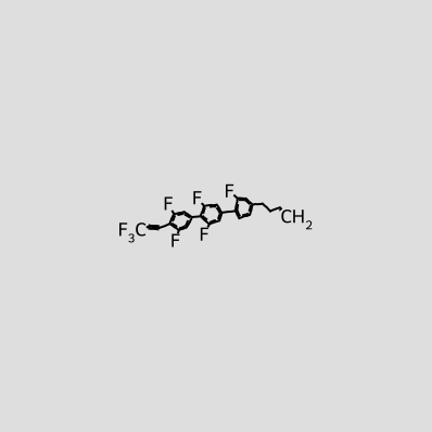 C=CCCc1ccc(-c2cc(F)c(-c3cc(F)c(C#CC(F)(F)F)c(F)c3)c(F)c2)c(F)c1